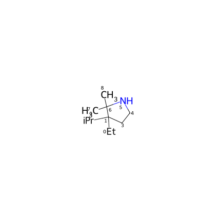 CCC1(C(C)C)CCNC1(C)C